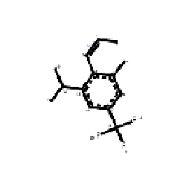 C/C=C\c1c(C)cc(C(F)(F)F)cc1C(C)C